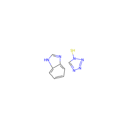 Sn1cnnn1.c1ccc2[nH]cnc2c1